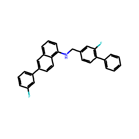 Fc1cccc(-c2ccc3c(NCc4ccc(-c5ccccc5)c(F)c4)cccc3c2)c1